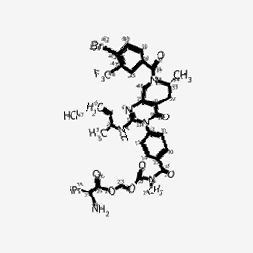 C=C[C@H](C)Nc1nc2c(c(=O)n1-c1ccc(C(=O)N(C)C(=O)OCOC(=O)[C@@H](N)C(C)C)cc1)C[C@@H](C)N(C(=O)c1ccc(Br)c(C(F)(F)F)c1)C2.Cl